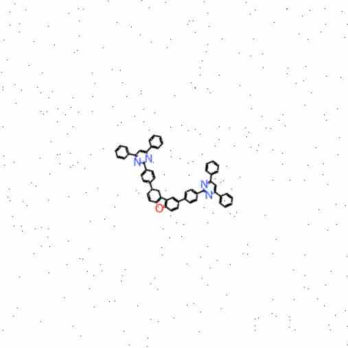 C1=CC(c2ccc(-c3nc(-c4ccccc4)cc(-c4ccccc4)n3)cc2)Cc2c1oc1ccc(-c3ccc(-c4nc(-c5ccccc5)cc(-c5ccccc5)n4)cc3)cc21